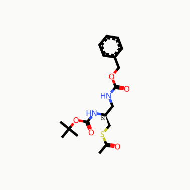 CC(=O)SC[C@H](CNC(=O)OCc1ccccc1)NC(=O)OC(C)(C)C